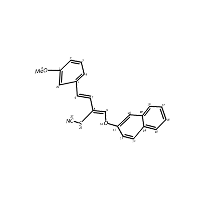 COc1cccc(C=CC(=COc2ccc3ccccc3c2)SC#N)c1